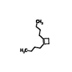 CCCCC1=C(CCCC)CC1